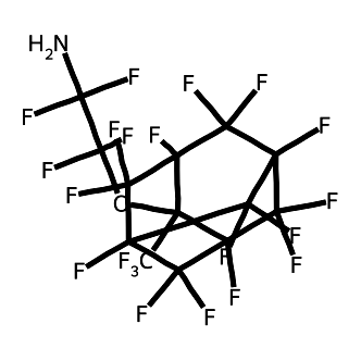 NC(F)(F)C(F)(F)OC1(C(F)(F)F)C2(F)C(F)(F)C3(F)C(F)(F)C(F)(C2(F)F)C(F)(F)C1(F)C3(F)F